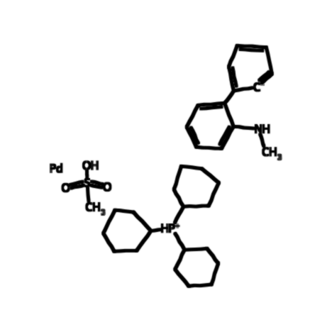 C1CCC([PH+](C2CCCCC2)C2CCCCC2)CC1.CNc1ccccc1-c1[c-]cccc1.CS(=O)(=O)O.[Pd]